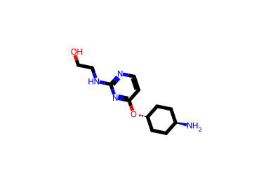 N[C@H]1CC[C@H](Oc2ccnc(NCCO)n2)CC1